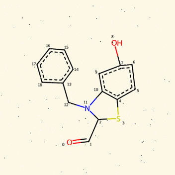 O=CC1Sc2ccc(O)cc2N1Cc1ccccc1